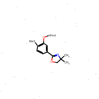 CCCCCOc1cc(C2=NC(C)(C)CO2)ccc1SC